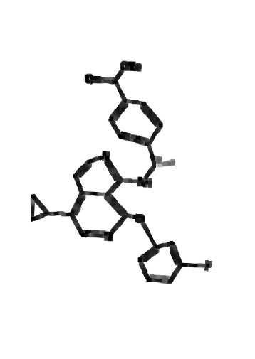 COC(=O)c1ccc([C@H](C)Nc2nccc3c(C4CC4)cnc(Oc4cccc(F)c4)c23)cc1